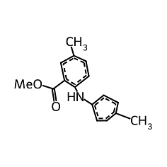 COC(=O)c1cc(C)ccc1Nc1ccc(C)cc1